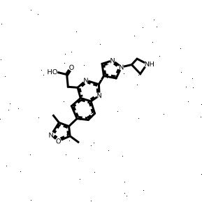 Cc1noc(C)c1-c1ccc2nc(-c3cnn(C4CNC4)c3)nc(CC(=O)O)c2c1